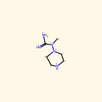 CN(C(=N)N)N1CCNCC1